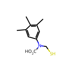 Cc1cc(N(CS)C(=O)O)cc(C)c1C